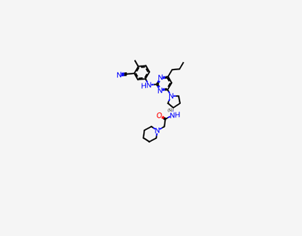 CCCc1cc(N2CC[C@H](NC(=O)CN3CCCCC3)C2)nc(Nc2ccc(C)c(C#N)c2)n1